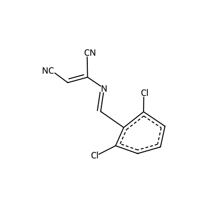 N#CC=C(C#N)N=Cc1c(Cl)cccc1Cl